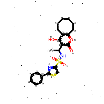 CCCC(NS(=O)(=O)c1csc(-c2ccccc2)n1)c1c(O)c2c(oc1=O)CCCCCC2